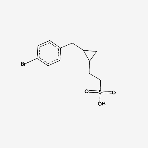 O=S(=O)(O)CCC1CC1Cc1ccc(Br)cc1